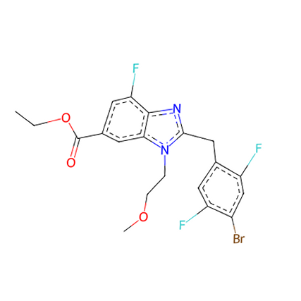 CCOC(=O)c1cc(F)c2nc(Cc3cc(F)c(Br)cc3F)n(CCOC)c2c1